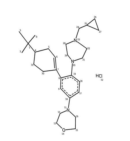 CC(C)(C)C1CC=C(c2cc(N3CCOCC3)ccc2N2CCN(CC3CC3)CC2)CC1.Cl